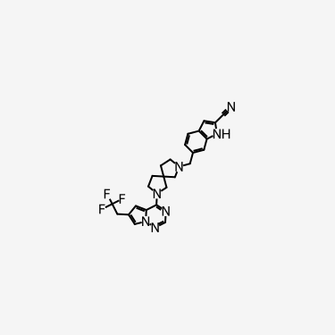 N#Cc1cc2ccc(CN3CCC4(CCN(c5ncnn6cc(CC(F)(F)F)cc56)C4)C3)cc2[nH]1